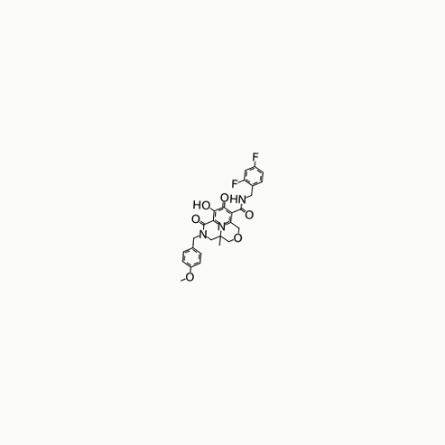 COc1ccc(CN2CC3(C)COCc4c(C(=O)NCc5ccc(F)cc5F)c(=O)c(O)c(n43)C2=O)cc1